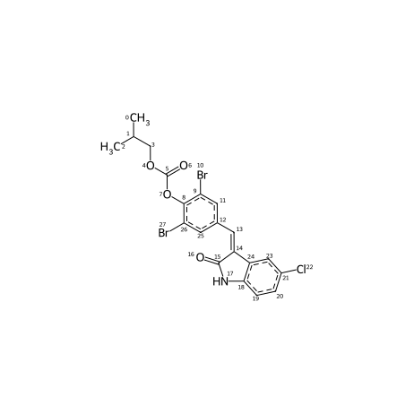 CC(C)COC(=O)Oc1c(Br)cc(C=C2C(=O)Nc3ccc(Cl)cc32)cc1Br